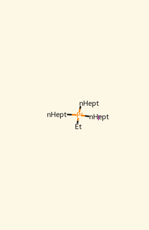 CCCCCCC[P+](CC)(CCCCCCC)CCCCCCC.[I-]